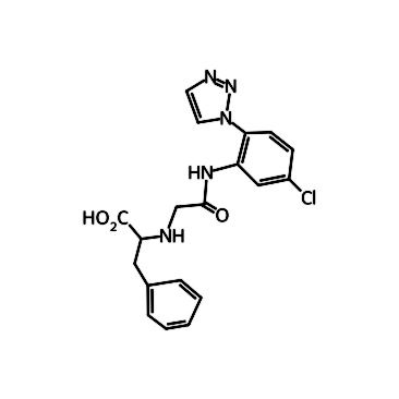 O=C(CNC(Cc1ccccc1)C(=O)O)Nc1cc(Cl)ccc1-n1ccnn1